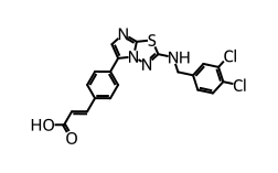 O=C(O)C=Cc1ccc(-c2cnc3sc(NCc4ccc(Cl)c(Cl)c4)nn23)cc1